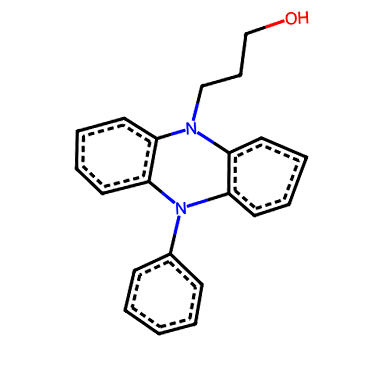 OCCCN1c2ccccc2N(c2ccccc2)c2ccccc21